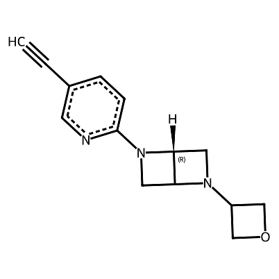 C#Cc1ccc(N2CC3[C@H]2CN3C2COC2)nc1